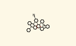 N#Cc1ccc(-c2ccccc2-c2ccccc2-n2c3ccccc3c3ccccc32)c(-c2c3ccccc3c(-c3ccccc3)c3ccccc23)c1